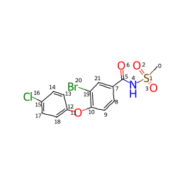 CS(=O)(=O)NC(=O)c1ccc(Oc2ccc(Cl)cc2)c(Br)c1